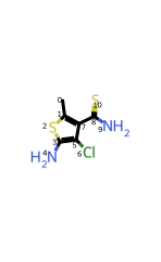 Cc1sc(N)c(Cl)c1C(N)=S